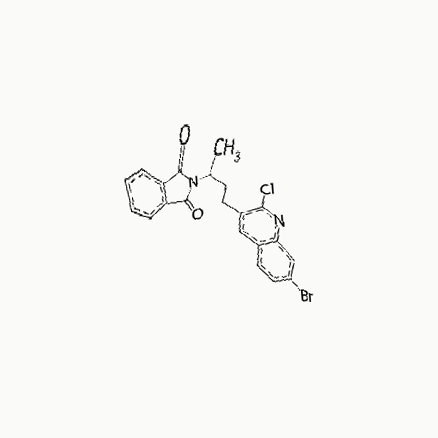 CC(CCc1cc2ccc(Br)cc2nc1Cl)N1C(=O)c2ccccc2C1=O